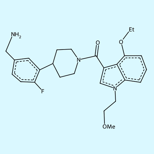 CCOc1cccc2c1c(C(=O)N1CCC(c3cc(CN)ccc3F)CC1)cn2CCOC